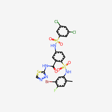 Cc1cc(F)c(Br)cc1NS(=O)(=O)c1ccc(NS(=O)(=O)c2cc(Cl)cc(Cl)c2)cc1C(=O)Nc1nncs1